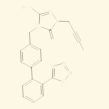 CC#CCn1nc(CCCCCC)n(Cc2ccc(-c3ccccc3-c3nnn[nH]3)cc2)c1=O